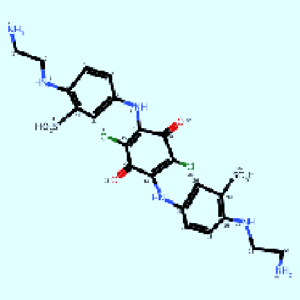 NCCNc1ccc(NC2=C(Cl)C(=O)C(Nc3ccc(NCCN)c(S(=O)(=O)O)c3)=C(Cl)C2=O)cc1S(=O)(=O)O